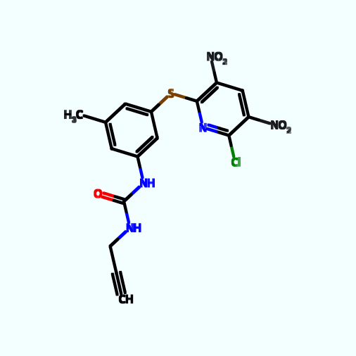 C#CCNC(=O)Nc1cc(C)cc(Sc2nc(Cl)c([N+](=O)[O-])cc2[N+](=O)[O-])c1